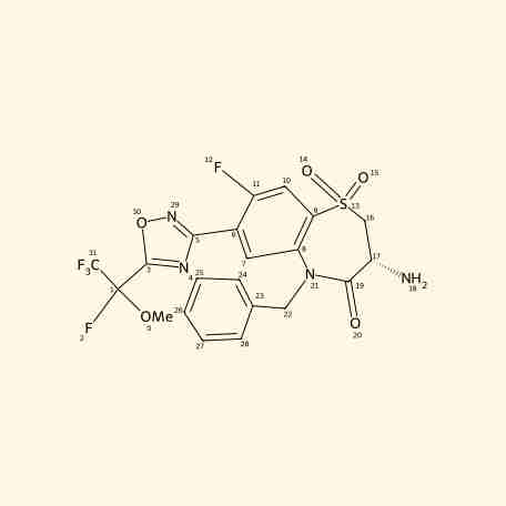 COC(F)(c1nc(-c2cc3c(cc2F)S(=O)(=O)C[C@H](N)C(=O)N3Cc2ccccc2)no1)C(F)(F)F